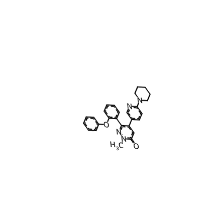 Cn1nc(-c2ccccc2Oc2ccccc2)c(-c2ccc(N3CCCCC3)nc2)cc1=O